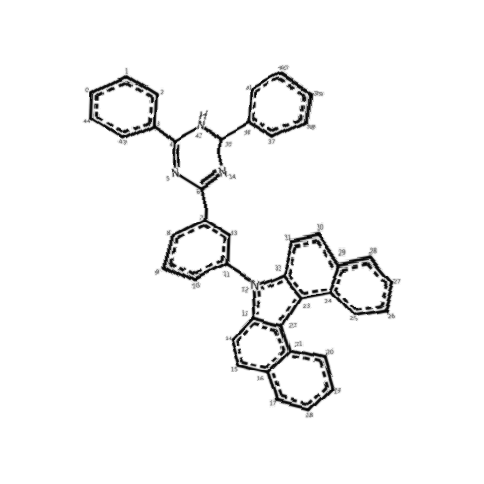 c1ccc(C2=NC(c3cccc(-n4c5ccc6ccccc6c5c5c6ccccc6ccc54)c3)=NC(c3ccccc3)N2)cc1